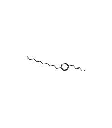 [CH2]C=CCc1ccc(CCCCCCCCCC)cc1